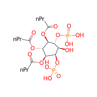 CCCC(=O)O[C@@H]1[C@@H](OC(=O)CCC)[C@H](OP(=O)(O)O)[C@@H](O)[C@@H](OP(=O)(O)O)[C@H]1OC(=O)CCC